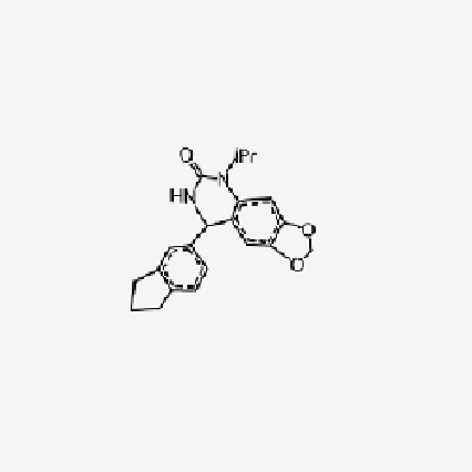 CC(C)N1C(=O)NC(c2ccc3c(c2)CCC3)c2cc3c(cc21)OCO3